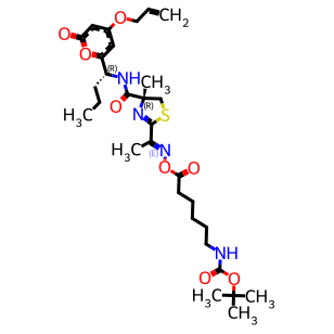 C=CCOc1cc([C@@H](CCC)NC(=O)[C@]2(C)CSC(/C(C)=N/OC(=O)CCCCCNC(=O)OC(C)(C)C)=N2)oc(=O)c1